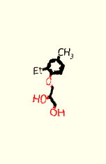 CCc1cc(C)ccc1OCC(O)CO